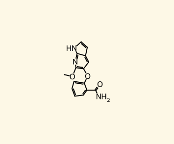 COc1nc2[nH]ccc2cc1Oc1ccccc1C(N)=O